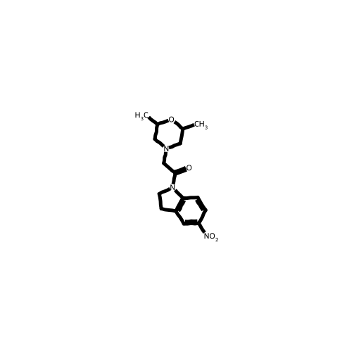 CC1CN(CC(=O)N2CCc3cc([N+](=O)[O-])ccc32)CC(C)O1